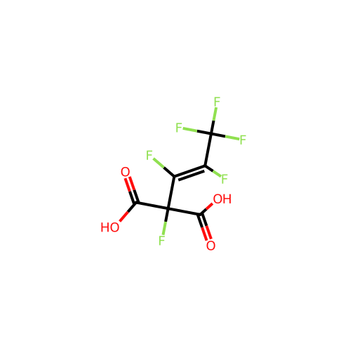 O=C(O)C(F)(C(=O)O)C(F)=C(F)C(F)(F)F